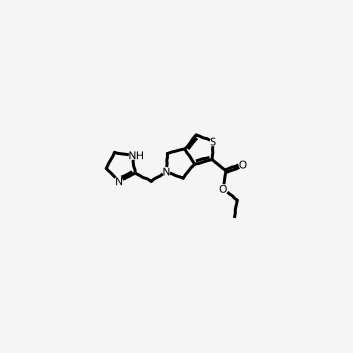 CCOC(=O)c1scc2c1CN(CC1=NCCN1)C2